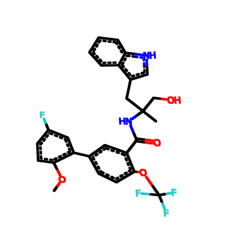 COc1ccc(F)cc1-c1ccc(OC(F)(F)F)c(C(=O)NC(C)(CO)Cc2c[nH]c3ccccc23)c1